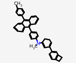 Cc1ccc(-c2c3ccccc3c(-c3ccc(N(C)C4=CC(c5ccc6c(c5)CC6)=CCC4)cc3)c3ccccc23)cc1